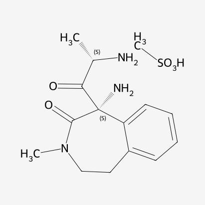 CS(=O)(=O)O.C[C@H](N)C(=O)[C@]1(N)C(=O)N(C)CCc2ccccc21